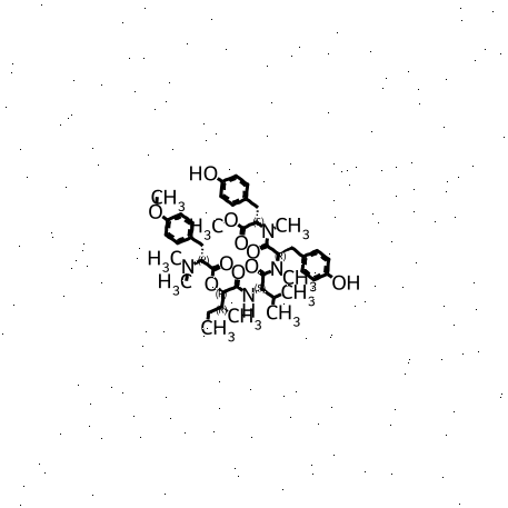 CC[C@@H](C)[C@@H](OC(=O)[C@@H](Cc1ccc(OC)cc1)N(C)C)C(=O)N[C@H](C(=O)N(C)[C@H](Cc1ccc(O)cc1)C(=O)N(C)[C@@H](Cc1ccc(O)cc1)C(=O)OC)C(C)C